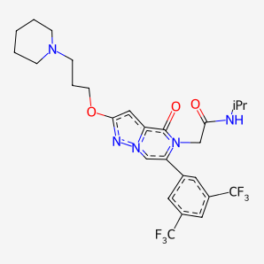 CC(C)NC(=O)Cn1c(-c2cc(C(F)(F)F)cc(C(F)(F)F)c2)cn2nc(OCCCN3CCCCC3)cc2c1=O